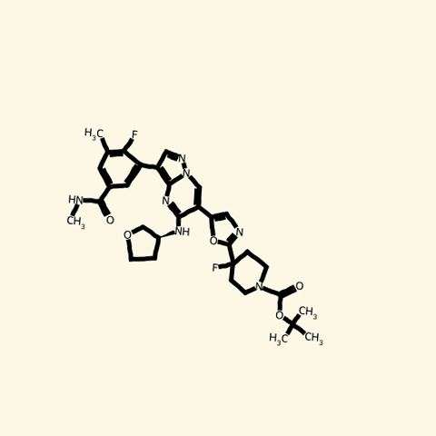 CNC(=O)c1cc(C)c(F)c(-c2cnn3cc(-c4cnc(C5(F)CCN(C(=O)OC(C)(C)C)CC5)o4)c(N[C@H]4CCOC4)nc23)c1